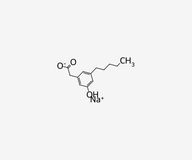 CCCCCc1cc(O)cc(CC(=O)[O-])c1.[Na+]